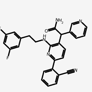 N#Cc1ccccc1-c1ccc(C(C(N)=O)c2cccnc2)c(NCCc2cc(F)cc(F)c2)n1